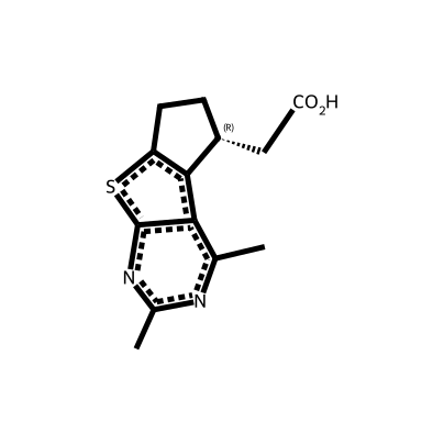 Cc1nc(C)c2c3c(sc2n1)CC[C@@H]3CC(=O)O